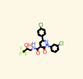 O=C(NC[C@@H](O)C(F)(F)F)c1cc(-c2ccc(Cl)cc2)nn(-c2cccc(Cl)c2)c1=O